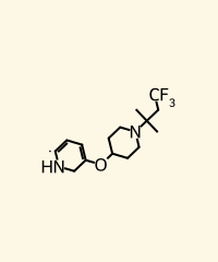 CC(C)(CC(F)(F)F)N1CCC(OC2=CC=[C]NC2)CC1